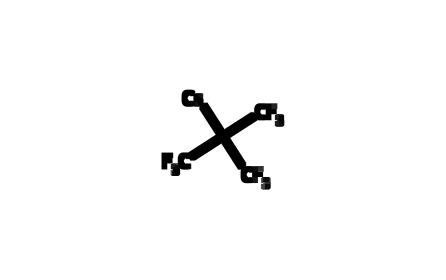 FC(F)(F)[C]([Cs])(C(F)(F)F)C(F)(F)F